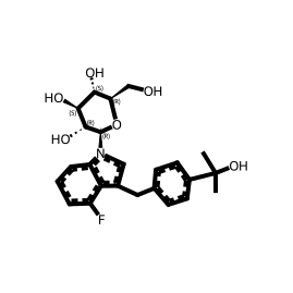 CC(C)(O)c1ccc(Cc2cn([C@@H]3O[C@H](CO)[C@@H](O)[C@H](O)[C@H]3O)c3cccc(F)c23)cc1